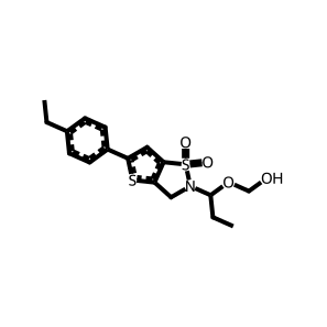 CCc1ccc(-c2cc3c(s2)CN(C(CC)OCO)S3(=O)=O)cc1